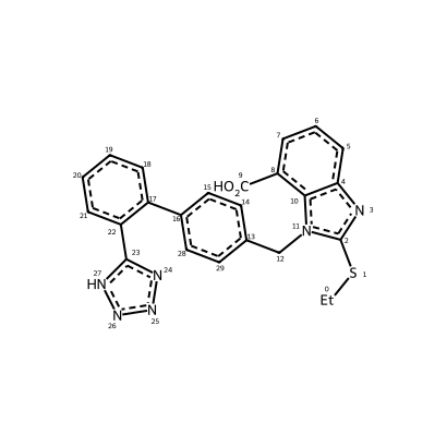 CCSc1nc2cccc(C(=O)O)c2n1Cc1ccc(-c2ccccc2-c2nnn[nH]2)cc1